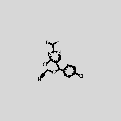 N#CCOC(c1ccc(Cl)cc1)c1cnc(C(F)F)nc1Cl